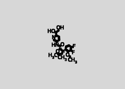 CCOc1c([C@H]2CC(C)(C)O[C@@H]2C(=O)Nc2ccc([C@H](O)CO)nc2)ccc(F)c1F